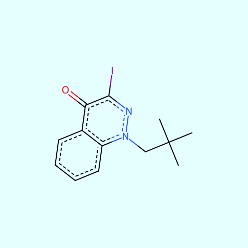 CC(C)(C)Cn1nc(I)c(=O)c2ccccc21